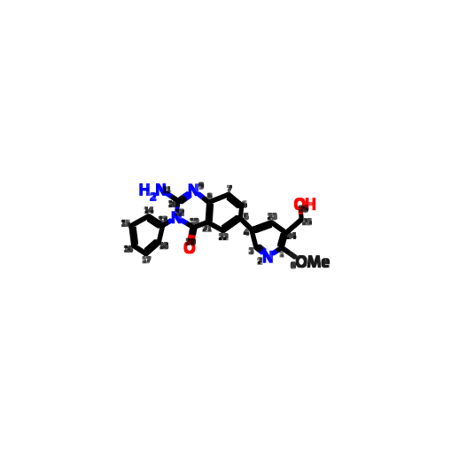 COc1ncc(-c2ccc3nc(N)n(-c4ccccc4)c(=O)c3c2)cc1CO